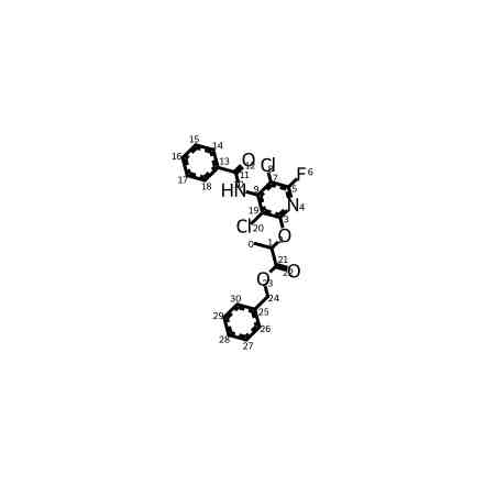 CC(Oc1nc(F)c(Cl)c(NC(=O)c2ccccc2)c1Cl)C(=O)OCc1ccccc1